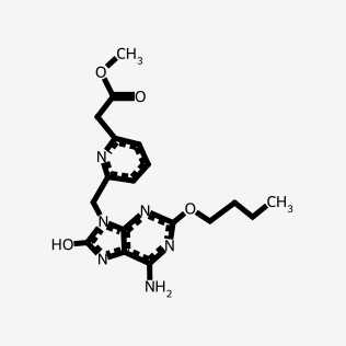 CCCCOc1nc(N)c2nc(O)n(Cc3cccc(CC(=O)OC)n3)c2n1